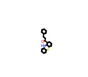 O=C(C=Cc1ccccc1)c1cccc2c1Nc1ccccc1S2